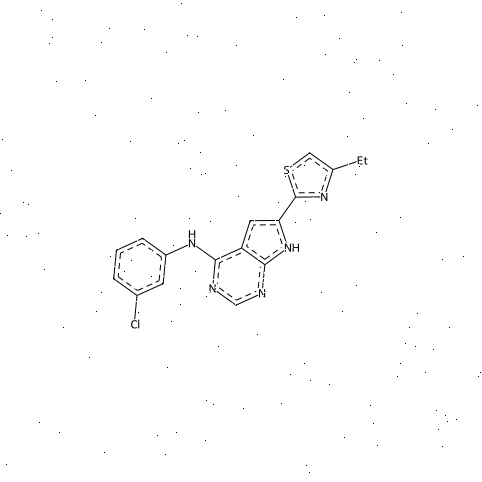 CCc1csc(-c2cc3c(Nc4cccc(Cl)c4)ncnc3[nH]2)n1